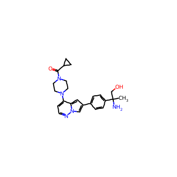 CC(N)(CO)c1ccc(-c2cc3c(N4CCN(C(=O)C5CC5)CC4)ccnn3c2)cc1